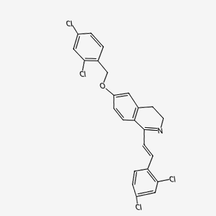 Clc1ccc(/C=C/C2=NCCc3cc(OCc4ccc(Cl)cc4Cl)ccc32)c(Cl)c1